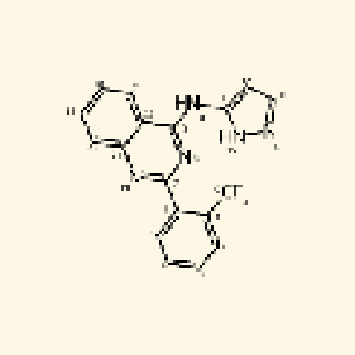 FC(F)(F)c1ccccc1-c1nc(Nc2ccn[nH]2)c2ccccc2n1